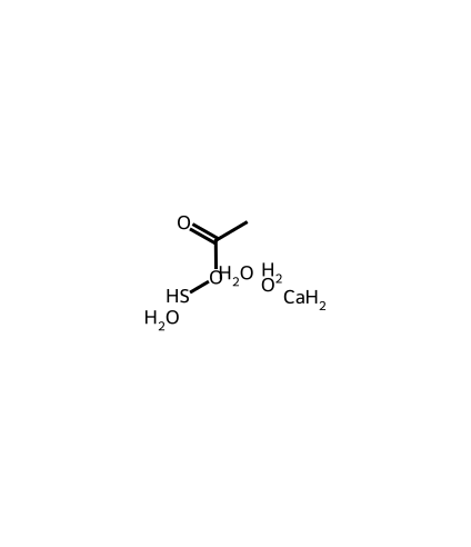 CC(=O)OS.O.O.O.[CaH2]